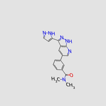 CN(C)C(=O)c1cccc(-c2cnc3[nH]nc(-c4ccn[nH]4)c3c2)c1